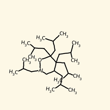 CC(C)CC1[CH2][Al]([CH2]C(C)C)[O]C(CC(C)C)(CC(C)C)C1(CC(C)C)CC(C)C